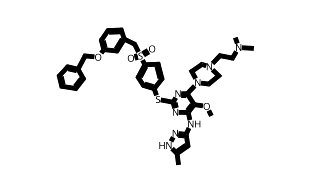 COc1c(Nc2cc(C)[nH]n2)nc(Sc2ccc(S(=O)(=O)Cc3cccc(OCc4ccccc4)c3)cc2)nc1N1CCN(CCN(C)C)CC1